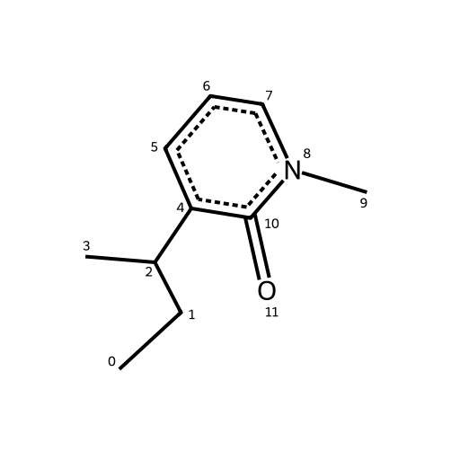 CCC(C)c1cccn(C)c1=O